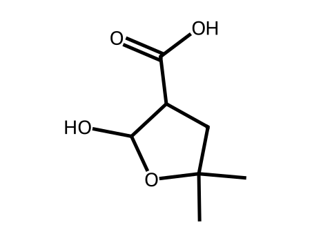 CC1(C)CC(C(=O)O)C(O)O1